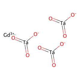 [Gd+3].[O]=[Ta](=[O])[O-].[O]=[Ta](=[O])[O-].[O]=[Ta](=[O])[O-]